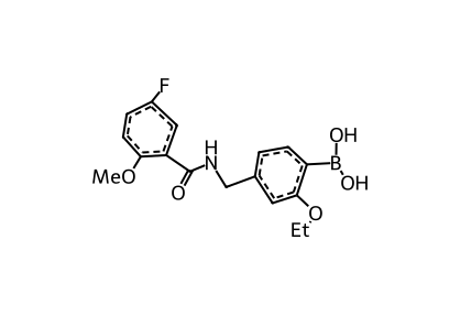 CCOc1cc(CNC(=O)c2cc(F)ccc2OC)ccc1B(O)O